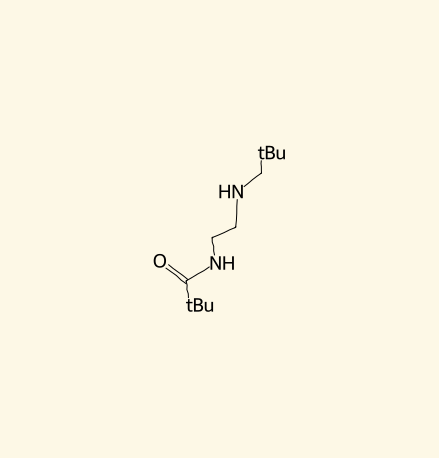 CC(C)(C)CNCCNC(=O)C(C)(C)C